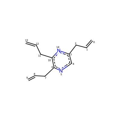 C=CCc1cnc(CC=C)c(CC=C)n1